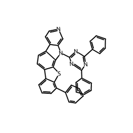 c1ccc(-c2nc(-c3ccccc3)nc(-n3c4cnccc4c4ccc5c6cccc(-c7ccccc7)c6sc5c43)n2)cc1